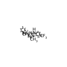 Cc1nc(NCc2ccccc2C(F)(F)F)nc(Nc2ccc(C(F)(F)F)cc2)n1